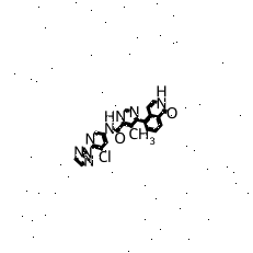 Cc1c(C(=O)Nc2cnc(-n3nccn3)c(Cl)c2)ncnc1-c1cccc2c(=O)[nH]ccc12